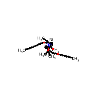 CCCCCCCCCCCCCCCCCCCCCC#CCC(CCCCC)CCc1ccccc1C1=C(CCCC)C(CCCCCCCC)=C(c2ccccc2CCC(CC#CCCCCCCCCCCCCCCCCCCCCC)CCCCC)[N+]1=[N-].[Ni]